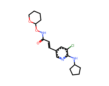 O=C(C=Cc1cnc(NC2CCCC2)c(Cl)c1)NOC1CCCCO1